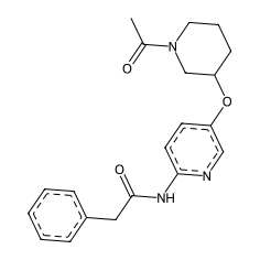 CC(=O)N1CCCC(Oc2ccc(NC(=O)Cc3ccccc3)nc2)C1